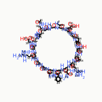 CCC(C)[C@@H]1NC(=O)[C@H](C)NC(=O)C(NC(=O)[C@H](C)NC(C)=O)Cc2cn(nn2)C[C@H](C(=O)N[C@H](C)C(=O)O)NC(=O)[C@H](C)NC(=O)[C@H](CCCCNC(=N)N)NC(=O)[C@H](C)NC(=O)[C@H](C)NC(=O)[C@H](CC(C)C)NC(=O)C(Cc2c[nH]c3ccccc23)NC(=O)[C@H](CCC(N)=O)NC(=O)[C@H](CCCNC(=N)N)NC(=O)[C@H](CC(C)C)NC(=O)C([C@@H](C)O)NC(=O)[C@@H]2CCCN2C(=O)CNC(=O)[C@H](CCC(=O)O)NC1=O